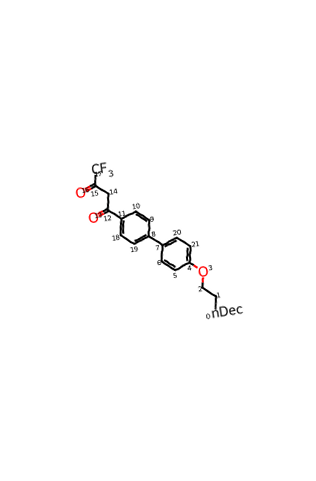 CCCCCCCCCCCCOc1ccc(-c2ccc(C(=O)CC(=O)C(F)(F)F)cc2)cc1